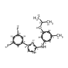 Cc1cc(Nc2ncn(-c3cc(F)cc(F)c3)n2)cc(OC(C)C)c1